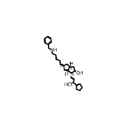 O[C@H](/C=C/[C@@H]1[C@H]2C/C(=C/CCCCNCc3ccccc3)C[C@H]2C[C@H]1O)C1CCCC1